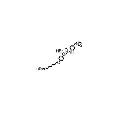 Br.CCCCCCCCCCCCCCCCOc1ccc(OCC(=O)Nc2ccc(CN3C=CSC3)cc2)cc1